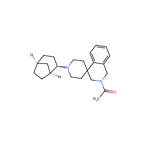 CC(=O)N1Cc2ccccc2C2(CCN([C@@H]3CC[C@@H]4CC[C@H]3C4)CC2)C1